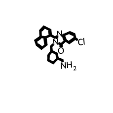 NCC1CCCC(Cn2c(-c3cccc4ccccc34)nc3ccc(Cl)cc3c2=O)C1